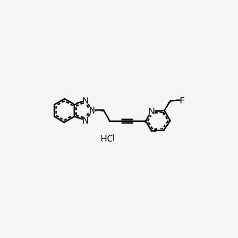 Cl.FCc1cccc(C#CCCn2nc3ccccc3n2)n1